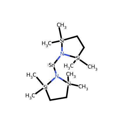 C[Si]1(C)CC[Si](C)(C)[N]1[Sn][N]1[Si](C)(C)CC[Si]1(C)C